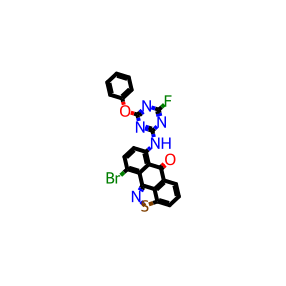 O=C1c2c(Nc3nc(F)nc(Oc4ccccc4)n3)ccc(Br)c2-c2nsc3cccc1c23